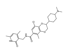 Cc1cc(C)c(CNC(=O)c2cc(Cl)c3c(c2C)OCC(C2CCC(N(C)C)CC2)O3)c(=O)[nH]1